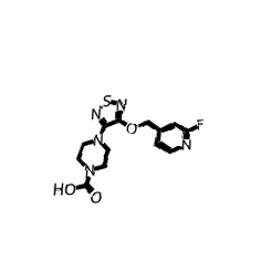 O=C(O)N1CCN(c2nsnc2OCc2ccnc(F)c2)CC1